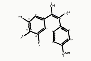 COc1ccc(/C(O)=C(/O)c2cc(F)c(F)c(F)c2)cc1